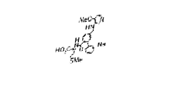 COc1ccncc1NCc1ccc(C(=O)N[C@@H](CCSC)C(=O)O)c(-c2ccccc2)c1.[Na]